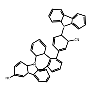 N#CC1=CC2c3ccccc3N(C3C=CC=CC3c3c(C#N)cccc3C3=CC(C#N)C(n4c5ccccc5c5ccccc54)C=C3)C2C=C1